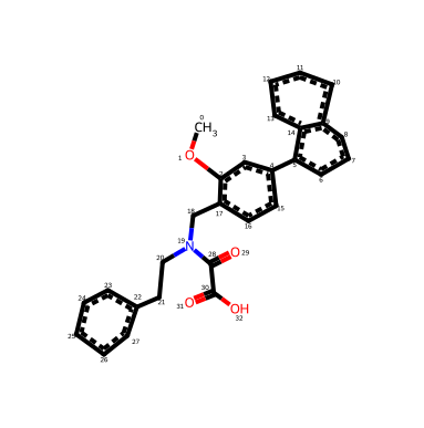 COc1cc(-c2cccc3ccccc23)ccc1CN(CCc1ccccc1)C(=O)C(=O)O